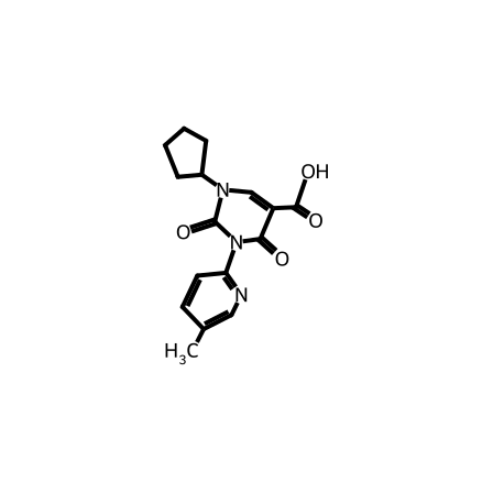 Cc1ccc(-n2c(=O)c(C(=O)O)cn(C3CCCC3)c2=O)nc1